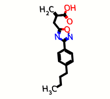 C=C(Cc1nc(-c2ccc(CCCC)cc2)no1)C(=O)O